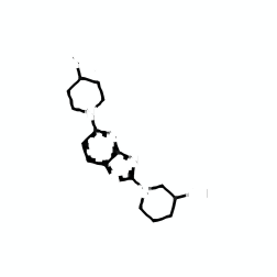 NC1CCN(c2ccc3sc(N4CCCC(O)C4)nc3n2)CC1